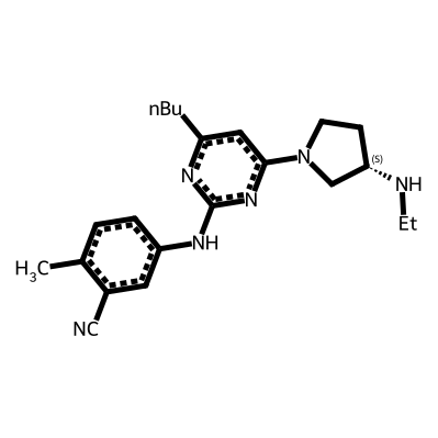 CCCCc1cc(N2CC[C@H](NCC)C2)nc(Nc2ccc(C)c(C#N)c2)n1